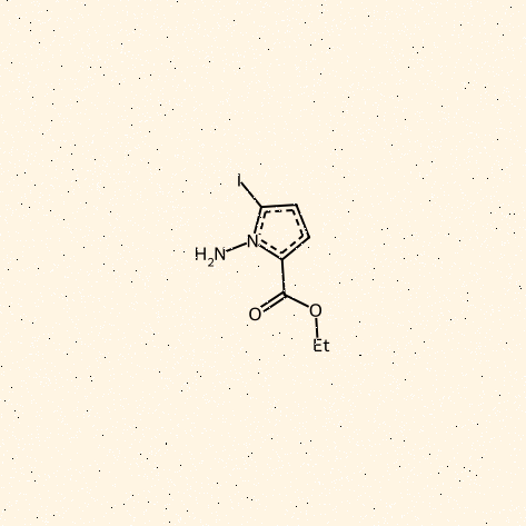 CCOC(=O)c1ccc(I)n1N